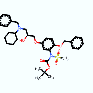 CC(C)(C)OC(=O)N(c1cc(OC[C@@H](O)CN(Cc2ccccc2)[C]2CCCCC2)ccc1OCc1ccccc1)S(C)(=O)=O